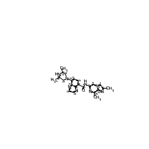 Cc1cn2cc(NC(=O)c3ccc(N4C[C@H](C)N[C@@H](C)C4)c4nccnc34)nc(C)c2n1